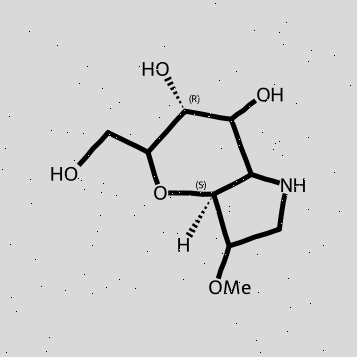 COC1CNC2C(O)[C@@H](O)C(CO)O[C@H]12